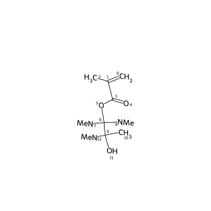 C=C(C)C(=O)OC(NC)(NC)C(C)(O)NC